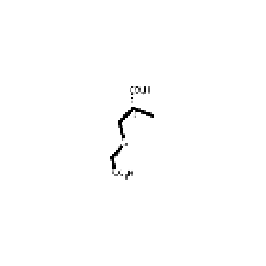 C[C@H](CSCC(=O)O)C(=O)O